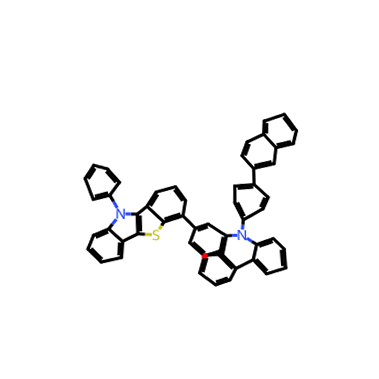 c1ccc(-c2ccccc2N(c2ccc(-c3ccc4ccccc4c3)cc2)c2cccc(-c3cccc4c3sc3c5ccccc5n(-c5ccccc5)c43)c2)cc1